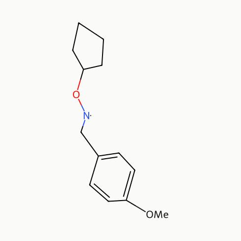 COc1ccc(C[N]OC2CCCC2)cc1